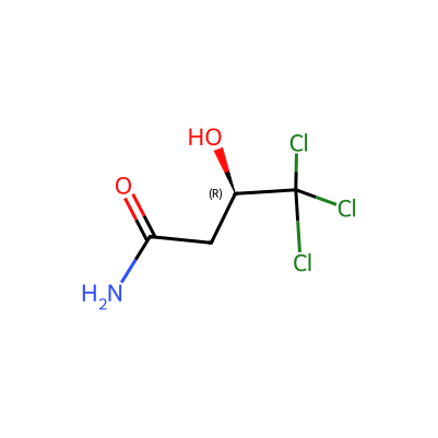 NC(=O)C[C@@H](O)C(Cl)(Cl)Cl